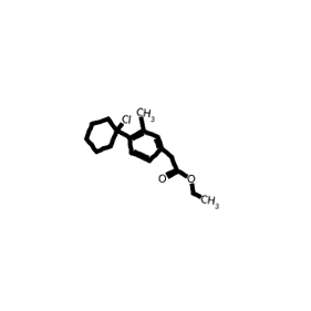 CCOC(=O)Cc1ccc(C2(Cl)CCCCC2)c(C)c1